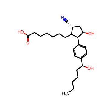 CCCCCC(O)c1ccc(C2C(CCCCCCC(=O)O)[C@H](C#N)C[C@H]2O)cc1